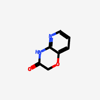 O=C1COc2cc[c]nc2N1